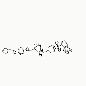 O=S(=O)(c1cccc2nsnc12)N1CCC(CNC[C@H](O)COc2ccc(OCc3ccccc3)cc2)CC1